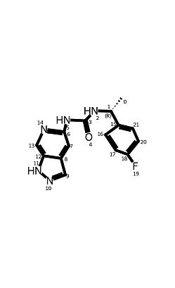 C[C@@H](NC(=O)Nc1cc2cn[nH]c2cn1)c1ccc(F)cc1